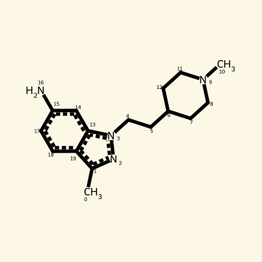 Cc1nn(CCC2CCN(C)CC2)c2cc(N)ccc12